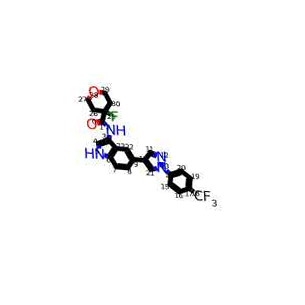 O=C(Nc1c[nH]c2ccc(-c3cnn(-c4ccc(C(F)(F)F)cc4)c3)cc12)C1(F)CCOCC1